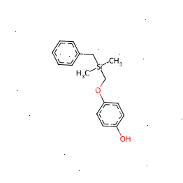 C[Si](C)(COc1ccc(O)cc1)Cc1ccccc1